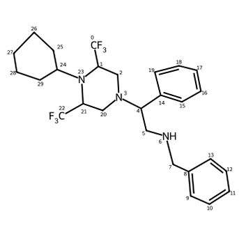 FC(F)(F)C1CN(C(CNCc2ccccc2)c2ccccc2)CC(C(F)(F)F)N1C1CCCCC1